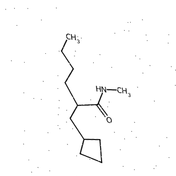 CCCCC(CC1CCC1)C(=O)NC